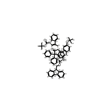 CC(C)(C)OC(=O)n1cc(C[C@H](NC(=O)[C@H](Cc2ccc(OC(C)(C)C)cc2)NC(=O)OCC2c3ccccc3-c3ccccc32)C(=O)C(c2ccccc2)(c2ccccc2)c2ccccc2)c2ccccc21